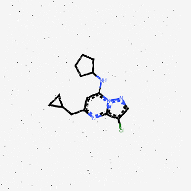 Clc1cnn2c(NC3CCCC3)cc(CC3CC3)nc12